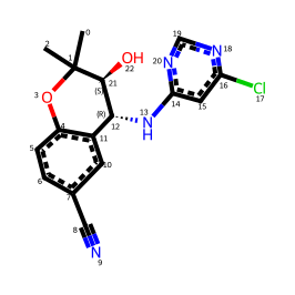 CC1(C)Oc2ccc(C#N)cc2[C@@H](Nc2cc(Cl)ncn2)[C@@H]1O